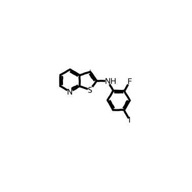 Fc1cc(I)ccc1Nc1[c]c2cccnc2s1